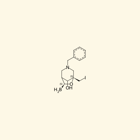 B[C@@H]1O[C@@]2(CI)CN(Cc3ccccc3)CC1C2O